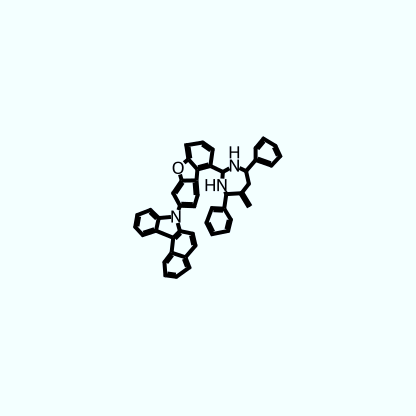 C=C1CC(c2ccccc2)NC(c2cccc3oc4cc(-n5c6ccccc6c6c7ccccc7ccc65)ccc4c23)NC1c1ccccc1